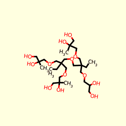 CCC(COCC(O)CO)(COCC(C)(O)CO)COCC(CC)(COCC(C)(O)CO)COCC(C)(O)CO